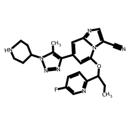 CCC(Oc1cc(-c2nnn(C3CCNCC3)c2C)cc2ncc(C#N)n12)c1ccc(F)cn1